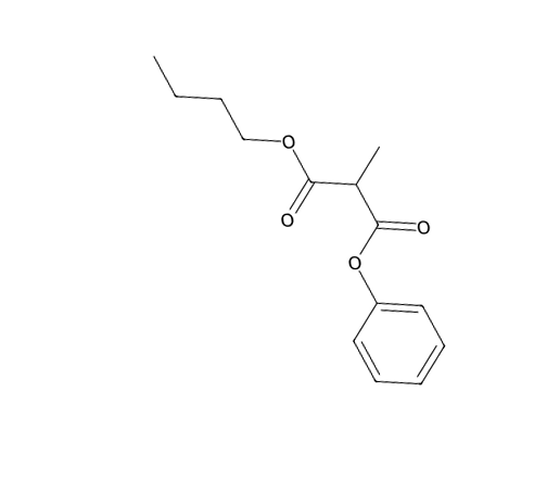 CCCCOC(=O)C(C)C(=O)Oc1ccccc1